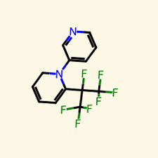 FC(F)(F)C(F)(C1=CC=CCN1c1cccnc1)C(F)(F)F